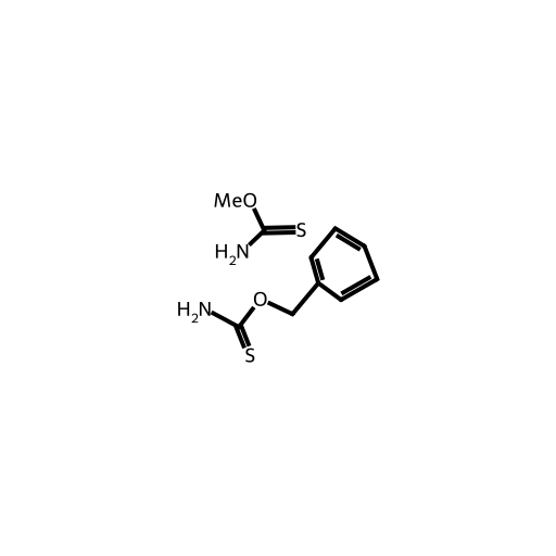 COC(N)=S.NC(=S)OCc1ccccc1